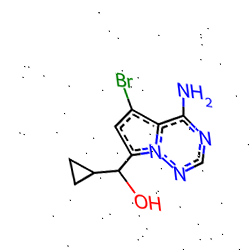 Nc1ncnn2c(C(O)C3CC3)cc(Br)c12